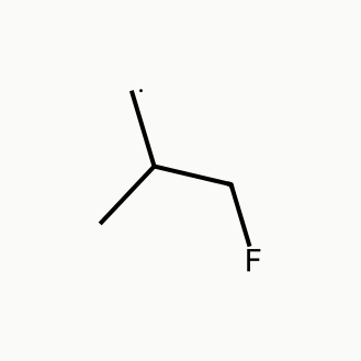 [CH2]C(C)CF